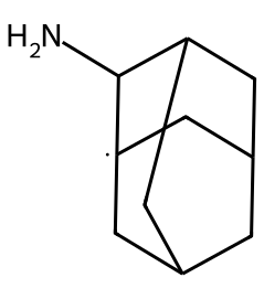 NC1[C]2CC3CC(C2)CC1C3